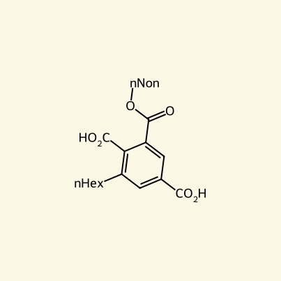 CCCCCCCCCOC(=O)c1cc(C(=O)O)cc(CCCCCC)c1C(=O)O